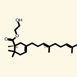 CC(C)=CCC/C(C)=C/CCC1=CCC(C)(C)[C@](C)(C(=O)OCCO)C1